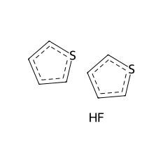 F.c1ccsc1.c1ccsc1